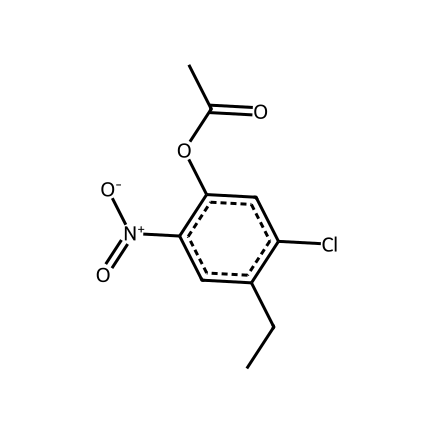 CCc1cc([N+](=O)[O-])c(OC(C)=O)cc1Cl